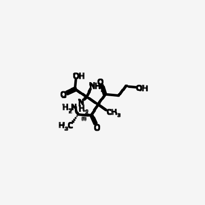 C[C@H](N)C(=O)C(C)(C(=O)CCO)C(N)(N)C(=O)O